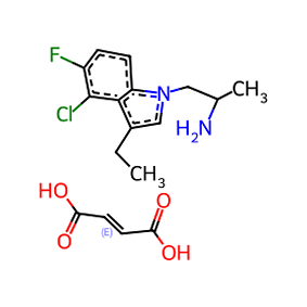 CCc1cn(CC(C)N)c2ccc(F)c(Cl)c12.O=C(O)/C=C/C(=O)O